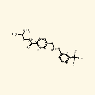 CC(C)CNC(=O)c1ccc(COCc2cccc(C(F)(F)F)c2)cn1